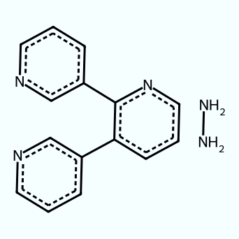 NN.c1cncc(-c2cccnc2-c2cccnc2)c1